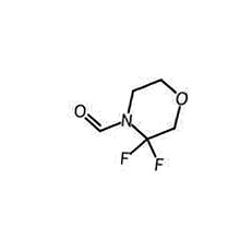 O=CN1CCOCC1(F)F